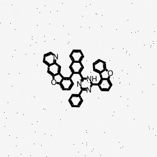 c1ccc(C2=NC(c3cccc4oc5ccccc5c34)NC(c3cc4ccccc4cc3-c3cccc4oc5cc6cccnc6cc5c34)=N2)cc1